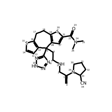 C=C(CNCCC1(c2nn[nH]n2)c2ccsc2CCc2sc(C(=O)N(C)C)cc21)N1CCCC1C#N